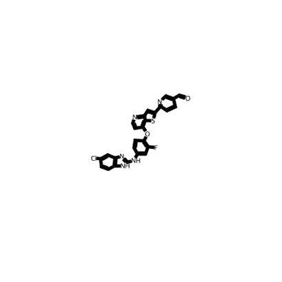 O=Cc1ccc(-c2cc3nccc(Oc4ccc(Nc5nc6cc(Cl)ccc6[nH]5)cc4F)c3s2)nc1